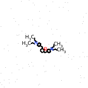 CCCCN(CCCC)c1ccc(/C=C2/CCC/C(=C\c3ccc(N(CCCC)CCCC)cc3)C2=O)cc1